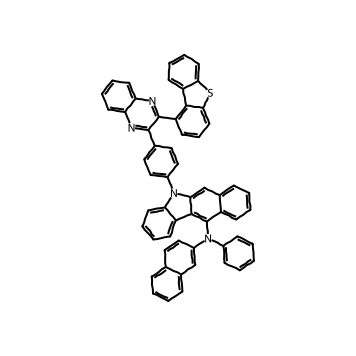 c1ccc(N(c2ccc3ccccc3c2)c2c3ccccc3cc3c2c2ccccc2n3-c2ccc(-c3nc4ccccc4nc3-c3cccc4sc5ccccc5c34)cc2)cc1